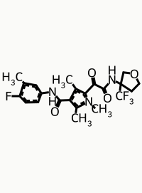 Cc1cc(NC(=O)c2c(C)c(C(=O)C(=O)NC3(C(F)(F)F)CCOC3)n(C)c2C)ccc1F